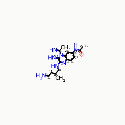 CC(=N)n1c(=N)c(NCC(C)CCN)nc2ccc(NC(=O)C(C)C)cc21